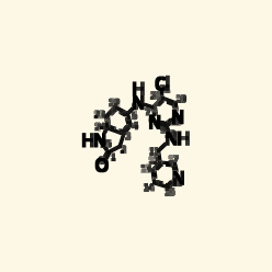 O=C1Cc2cc(Nc3nc(NCc4cccnc4)ncc3Cl)ccc2N1